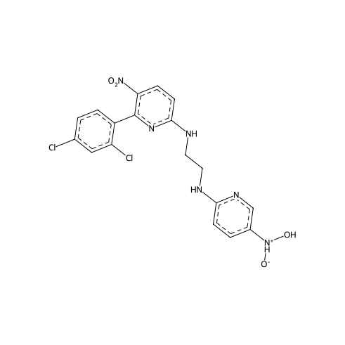 O=[N+]([O-])c1ccc(NCCNc2ccc([NH+]([O-])O)cn2)nc1-c1ccc(Cl)cc1Cl